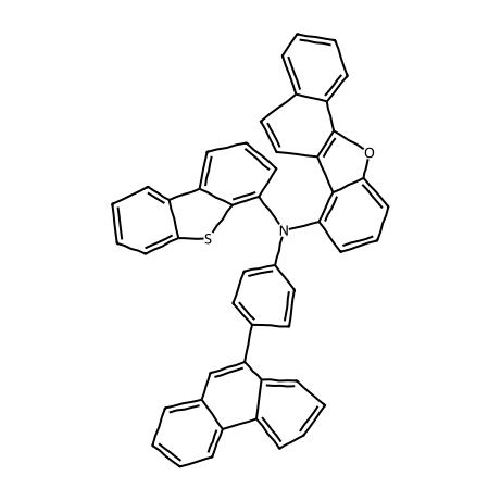 c1ccc2c(c1)cc(-c1ccc(N(c3cccc4c3sc3ccccc34)c3cccc4oc5c6ccccc6ccc5c34)cc1)c1ccccc12